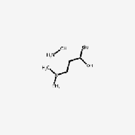 CN(C)CCC(O)C(C)(C)C.NO